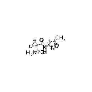 Cc1cc(NC(=O)C2(C(N)=O)CC2)no1